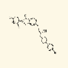 O=C1CCC(N2Cc3cc(CC[C@H](O)CN4CCN(c5ccc(Br)cc5)CC4)ccc3C2=O)C(=O)N1